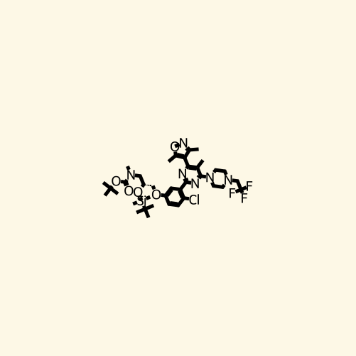 Cc1noc(C)c1-c1nc(-c2cc(OC[C@@H](CN(C)C(=O)OC(C)(C)C)O[Si](C)(C)C(C)(C)C)ccc2Cl)nc(N2CCN(CC(F)(F)F)CC2)c1C